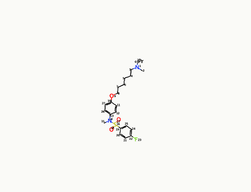 CC(C)N(C)CCCCCCOc1ccc(N(C)S(=O)(=O)c2ccc(F)cc2)cc1